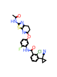 CC(=O)Nc1nc2c(s1)N=C(Oc1ccc(F)c(NC(=O)c3cccc(C4(C#N)CC4)c3Cl)c1)CC2